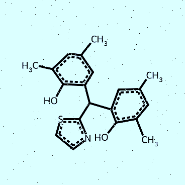 Cc1cc(C)c(O)c(C(c2nccs2)c2cc(C)cc(C)c2O)c1